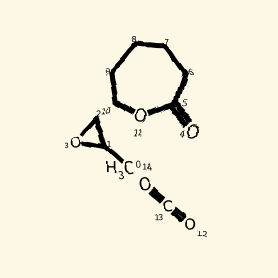 CC1CO1.O=C1CCCCCO1.O=C=O